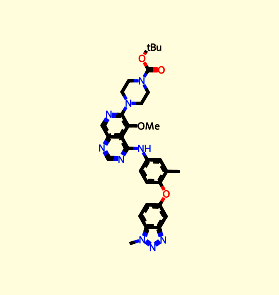 COc1c(N2CCN(C(=O)OC(C)(C)C)CC2)ncc2ncnc(Nc3ccc(Oc4ccc5c(c4)nnn5C)c(C)c3)c12